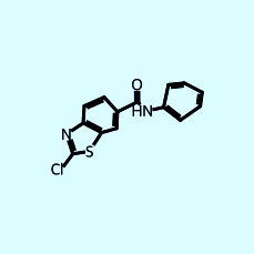 O=C(Nc1ccccc1)c1ccc2nc(Cl)sc2c1